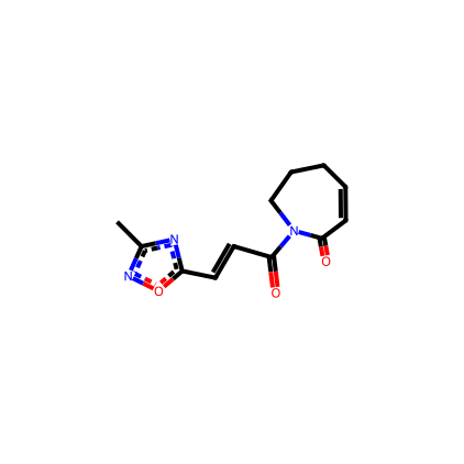 Cc1noc(C=CC(=O)N2CCCC=CC2=O)n1